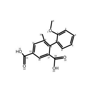 COc1ccccc1-c1c(C)cc(C(=O)O)cc1C(=O)O